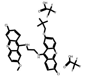 COc1ccc2nc3cc(Cl)ccc3c(NCCNc3c4ccc(Cl)cc4nc4ccc(OCC(C)(C)C)cc34)c2c1.O=C(O)C(F)(F)F.O=C(O)C(F)(F)F